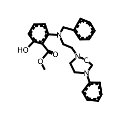 COC(=O)c1c(O)cccc1N(CCN1CCN(c2ccccc2)CC1)Cc1ccccc1